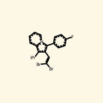 CC(C)c1c(C=C(Br)Br)c(-c2ccc(F)cc2)n2ccccc12